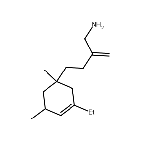 C=C(CN)CCC1(C)CC(CC)=CC(C)C1